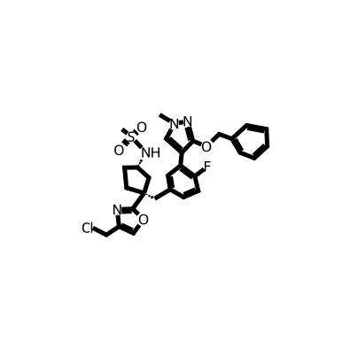 Cn1cc(-c2cc(C[C@]3(c4nc(CCl)co4)CC[C@H](NS(C)(=O)=O)C3)ccc2F)c(OCc2ccccc2)n1